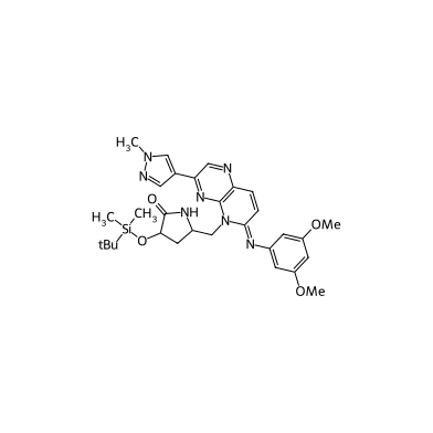 COc1cc(/N=c2\ccc3ncc(-c4cnn(C)c4)nc3n2CC2CC(O[Si](C)(C)C(C)(C)C)C(=O)N2)cc(OC)c1